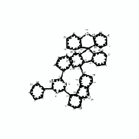 c1ccc(-c2nc(-c3ccccc3)nc(-c3cccc4oc5ccc(-c6cccc7c6-c6ccccc6C76c7ccccc7Oc7ccccc76)cc5c34)n2)cc1